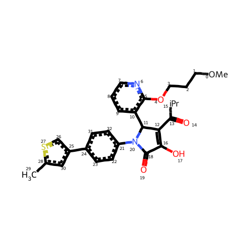 COCCCOc1ncccc1C1C(C(=O)C(C)C)=C(O)C(=O)N1c1ccc(-c2csc(C)c2)cc1